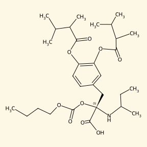 CCCCOC(=O)O[C@](Cc1ccc(OC(=O)C(C)C(C)C)c(OC(=O)C(C)C(C)C)c1)(NC(C)CC)C(=O)O